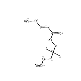 CCCOC=CC(=O)OCC(C)(C)COOC